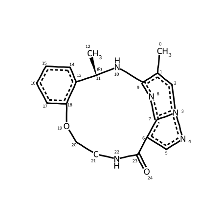 Cc1cn2ncc3c2nc1N[C@H](C)c1ccccc1OCCNC3=O